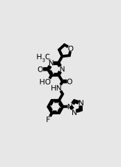 Cn1c(C2CCOC2)nc(C(=O)NCc2ccc(F)cc2-n2cncn2)c(O)c1=O